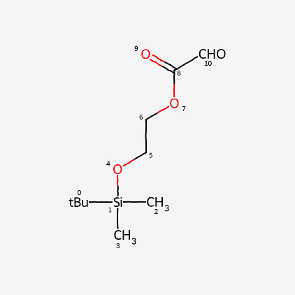 CC(C)(C)[Si](C)(C)OCCOC(=O)C=O